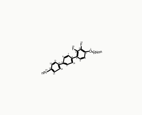 CCCCCCCCCOc1ccc(-c2ccc(-c3ccc(CCC)cc3)cc2)c(F)c1F